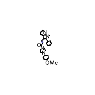 COc1ccc(N2CCN(C(=O)/C=C/c3c(-c4ccccc4)n(C)c4ncccc34)CC2)cc1